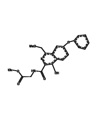 COCc1nc(C(=O)NCC(=O)OC(C)(C)C)c(O)c2ccc(Oc3ccccc3)cc12